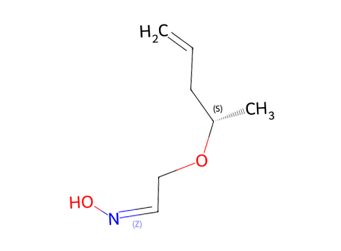 C=CC[C@H](C)OC/C=N\O